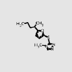 CCCC(C)c1ccc(Sc2nncn2C)o1